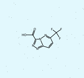 O=C(O)c1nnc2ccc(C(F)(F)F)nn12